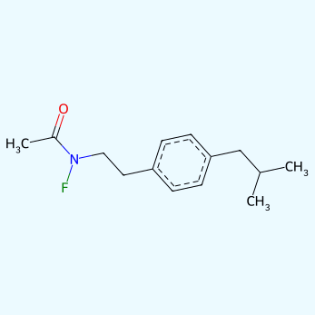 CC(=O)N(F)CCc1ccc(CC(C)C)cc1